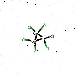 [Cl][Ge]1([Cl])[Ge]([Cl])([Cl])[Ge]1([Cl])[Cl]